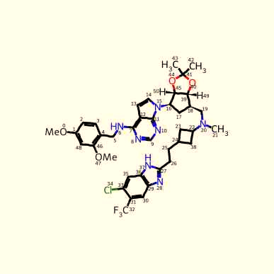 COc1ccc(CNc2ncnc3c2ccn3[C@@H]2C[C@H](CN(C)C3CC(CCc4nc5cc(C(F)(F)F)c(Cl)cc5[nH]4)C3)[C@H]3OC(C)(C)O[C@H]32)c(OC)c1